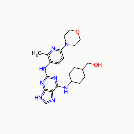 Cc1nc(N2CCOCC2)ccc1Nc1nc(NC2CCC(CO)CC2)c2nc[nH]c2n1